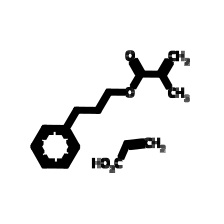 C=C(C)C(=O)OCCCc1ccccc1.C=CC(=O)O